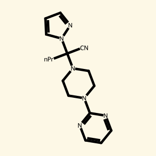 [CH2]CCC(C#N)(N1CCN(c2ncccn2)CC1)n1cccn1